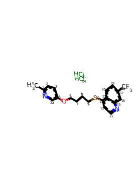 Cc1ccc(OCCCCSc2ccnc3cc(C(F)(F)F)ccc23)cn1.Cl.Cl